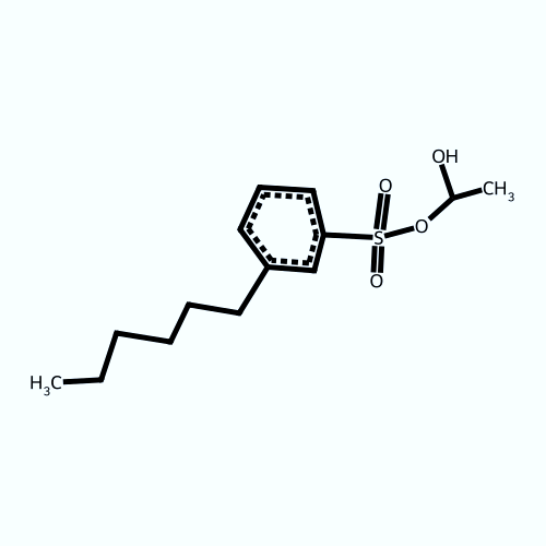 CCCCCCc1cccc(S(=O)(=O)OC(C)O)c1